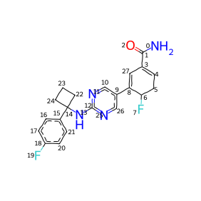 NC(=O)C1=CCC(F)C(c2cnc(NC3(c4ccc(F)cc4)CCC3)nc2)=C1